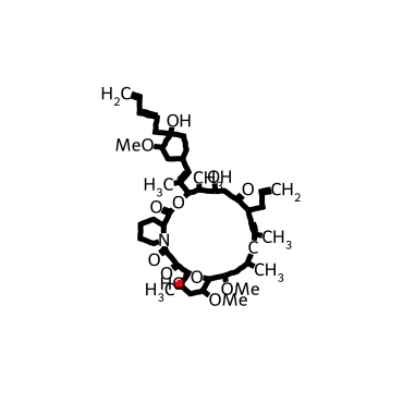 C=CC=CCC1(O)CCC(C=C(C)C2OC(=O)C3CCCCN3C(=O)C(=O)C3(O)OC(C(OC)CC(C)C/C(C)=C/C(CC=C)C(=O)CC(O)C2C)C(OC)CC3C)CC1OC